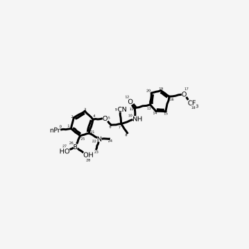 CCCc1ccc(OCC(C)(C#N)NC(=O)c2ccc(OC(F)(F)F)cc2)c(N(C)C)c1B(O)O